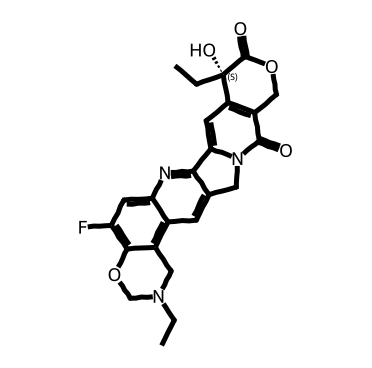 CCN1COc2c(F)cc3nc4c(cc3c2C1)Cn1c-4cc2c(c1=O)COC(=O)[C@]2(O)CC